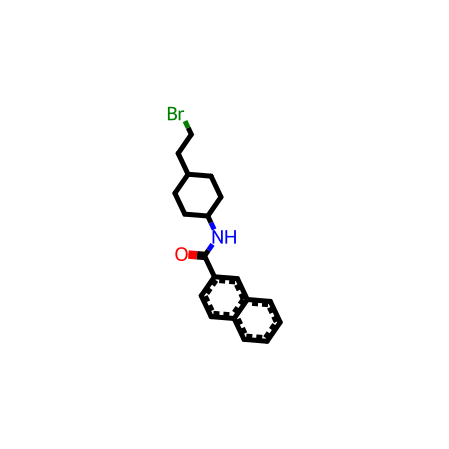 O=C(NC1CCC(CCBr)CC1)c1ccc2ccccc2c1